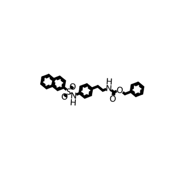 O=C(NCCc1ccc(NS(=O)(=O)c2ccc3ccccc3c2)cc1)OCc1ccccc1